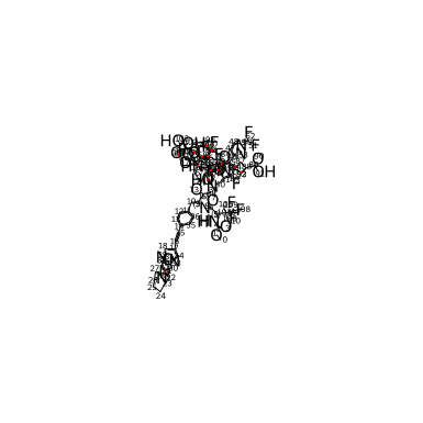 COC(=O)N[C@H](C(=O)N[C@@H](Cc1ccc(C#Cc2cnc(N3CC4CCC(C3)N4C3COC3)nc2)cc1)[C@H](CN(Cc1c(F)cc(-c2ccn(C(F)F)n2)cc1F)NC(=O)[C@@H](NC(=O)OC)C(C)(C)C(F)(F)F)OC(=O)CC(C)(C)c1c(CC(=O)NC23CC(C(=O)O)(C2)C3)cc(C)cc1OP(=O)(O)O)C(C)(C)C(F)(F)F